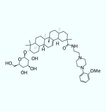 COc1ccccc1N1CCN(CCNC(=O)C2(C)CC[C@]3(C)CC[C@]4(C)C(=CC[C@@H]5[C@@]6(C)CC[C@H](O[C@@H]7O[C@H](CO)[C@@H](O)[C@H](O)[C@H]7O)C(C)(C)C6CC[C@]54C)[C@@H]3C2)CC1